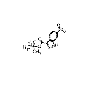 CC(C)(C)OC(=O)c1n[nH]c2cc([N+](=O)[O-])ccc12